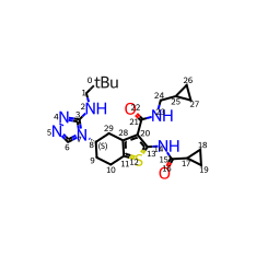 CC(C)(C)CNc1nncn1[C@H]1CCc2sc(NC(=O)C3CC3)c(C(=O)NCC3CC3)c2C1